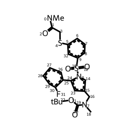 CNC(=O)CSc1cccc(S(=O)(=O)n2cc(CN(C)C(=O)OC(C)(C)C)cc2-c2ccccc2F)c1